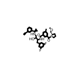 C#Cc1cccc(C2(NCC(O)C(Cc3cc(F)cc(F)c3)NC(=O)c3cc(C)cc(C(=O)N4CCC[C@@H]4COC)c3)CC2)c1